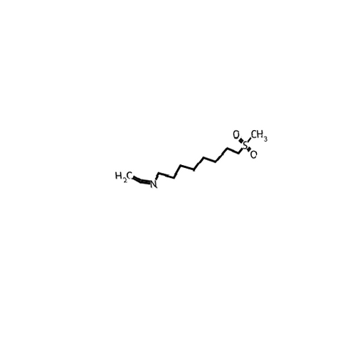 C=C=NCCCCCCCCS(C)(=O)=O